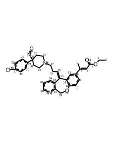 CCOC(=O)/C=C(\C)c1ccc2c(c1)/C(=C/CCN1CCC(N=O)(c3ccc(Cl)cc3)CC1)c1cccnc1CO2